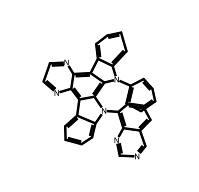 c1ccc(-n2c3ccccc3c3c4nccnc4c4c5ccccc5n(-c5cccc6cncnc56)c4c32)cc1